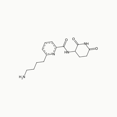 NCCCCc1cccc(C(=O)NC2CCC(=O)NC2=O)n1